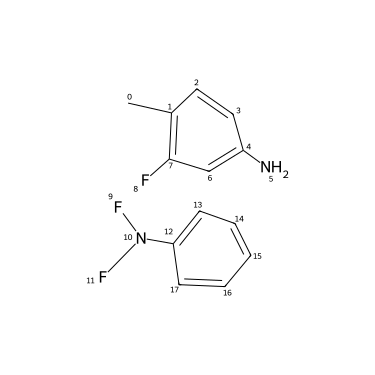 Cc1ccc(N)cc1F.FN(F)c1ccccc1